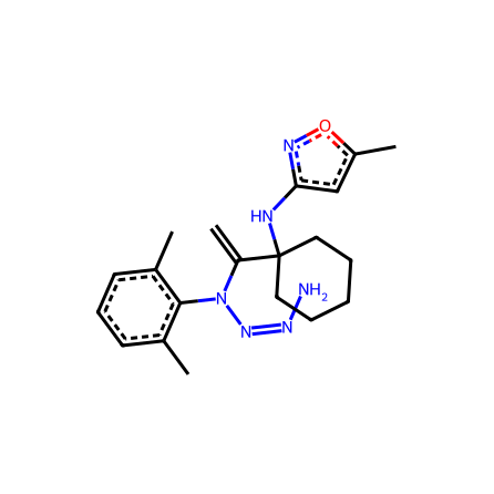 C=C(N(/N=N\N)c1c(C)cccc1C)C1(Nc2cc(C)on2)CCCCC1